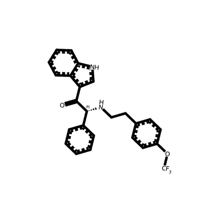 O=C(c1c[nH]c2ccccc12)[C@H](NCCc1ccc(OC(F)(F)F)cc1)c1ccccc1